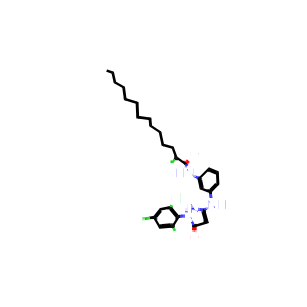 CCCCCCCCCCCCC(Cl)C(=O)Nc1cccc(Nc2cc(=O)n(-c3c(Cl)cc(Cl)cc3Cl)[nH]2)c1